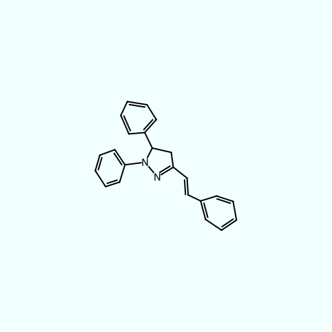 C(=Cc1ccccc1)C1=NN(c2ccccc2)C(c2ccccc2)C1